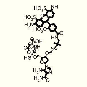 CC(C)(CNC(=O)c1ccc(-c2c3ccc(=N)c(S(=O)(=O)O)c-3oc3c(S(=O)(=O)O)c(N)ccc23)c(C(=O)O)c1)SSCO[C@@H]1C[C@H](n2cnc(C(N)=O)c2N)O[C@@H]1COP(=O)(O)OP(=O)(O)OP(=O)(O)O